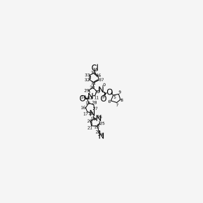 CN(C(=O)OC1CCCC1)[C@@H]1CN(C(=O)C2CCN(c3ccc(C#N)cn3)CC2)CC1c1ccc(Cl)cc1